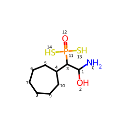 NC(O)C(C1CCCCCC1)P(=O)(S)S